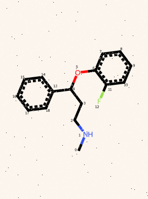 CNCCC(Oc1ccccc1F)c1ccccc1